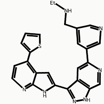 CCNCc1cncc(-c2cc3c(-c4cc5c(-c6cccs6)ccnc5[nH]4)n[nH]c3cn2)c1